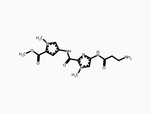 COC(=O)c1cc(NC(=O)c2nc(NC(=O)CCN)cn2C)cn1C